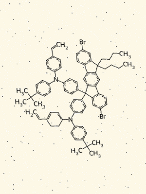 C=CC1=CC=C(N(c2ccc(C(C)(C)C)cc2)c2ccc(C3(c4ccc(N(c5ccc(C=C)cc5)c5ccc(C(C)(C)C)cc5)cc4)c4cc(Br)ccc4-c4cc5c(cc43)-c3ccc(Br)cc3C5(CCCC)CCCC)cc2)CC1